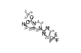 CC(C)(C)OC(=O)N1CCN(c2ncc(C(F)(F)F)cn2)C[C@H]1CC#N